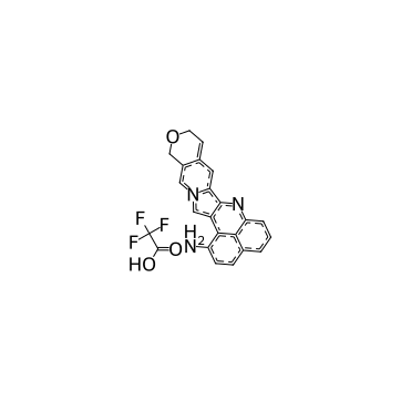 Nc1ccc2cccc3nc4c(cn5cc6c(cc45)=CCOC6)c1c23.O=C(O)C(F)(F)F